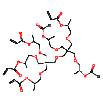 C=CC(=O)OC(C)COCC(COCC(C)OC(=O)C=C)(COCC(C)OC(=O)C=C)COCC(COCC(C)OC(=O)C=C)(COCC(C)OC(=O)CC)COCC(C)OC(=O)CC